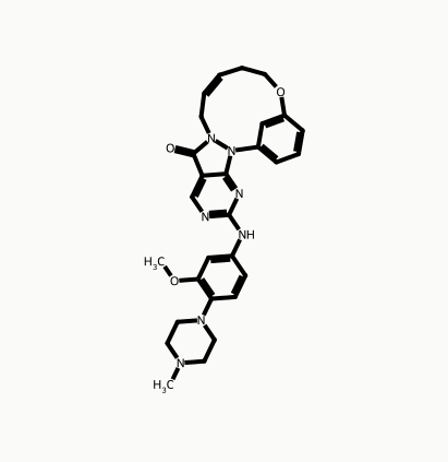 COc1cc(Nc2ncc3c(=O)n4n(c3n2)-c2cccc(c2)OCC/C=C\C4)ccc1N1CCN(C)CC1